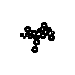 CC1(C)c2ccccc2-c2ccc(N(c3ccc(-c4ccccc4)cc3)c3ccc4c(c3)C3(c5ccccc5-c5ccccc53)c3cccc5c3N4c3ccccc3O5)cc21